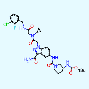 CC(C)(C)OC(=O)N[C@H]1CCCN(C(=O)Nc2ccc3c(c2)c(C(N)=O)nn3CC(=O)N(CC(=O)NCc2cccc(Cl)c2F)C2CC2)C1